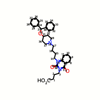 O=C(O)CCCn1c(=O)c2ccccc2n(CCCCN2CCC(OC(c3ccccc3)c3ccccc3)CC2)c1=O